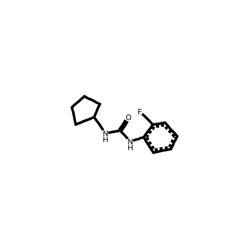 O=C(Nc1ccccc1F)NC1CCCC1